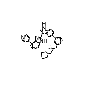 O=C(Cc1cncc(-c2ccc3[nH]nc(-c4nc5c(-c6ccncc6)nccc5[nH]4)c3c2)c1)CC1CCCCC1